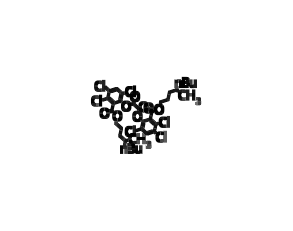 CCCCC(C)CCCOC(=O)c1c(Cl)c(Cl)cc(Cl)c1OC(=O)C(=O)Oc1c(Cl)cc(Cl)c(Cl)c1C(=O)OCCCC(C)CCCC